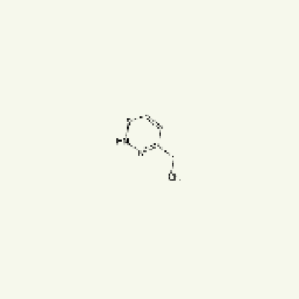 FC(F)(F)CC1=NNSC=C1